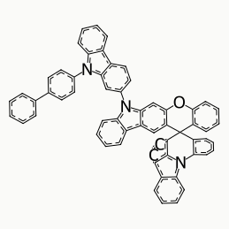 c1ccc(-c2ccc(-n3c4ccccc4c4ccc(-n5c6ccccc6c6cc7c(cc65)Oc5ccccc5C75c6ccccc6-n6c7ccccc7c7cccc5c76)cc43)cc2)cc1